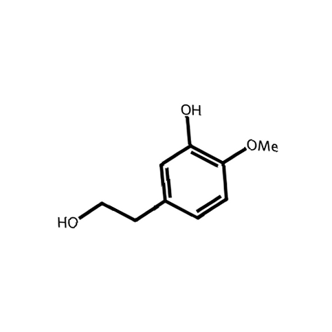 COc1ccc(CCO)cc1O